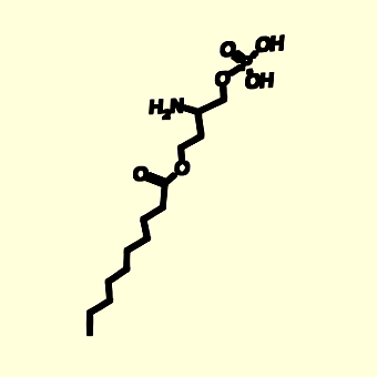 CCCCCCCCCC(=O)OCCC(N)COP(=O)(O)O